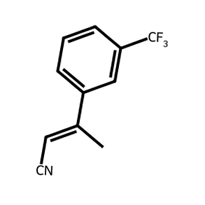 C/C(=C\C#N)c1cccc(C(F)(F)F)c1